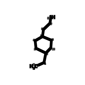 CCC1CCC(CCS)CC1